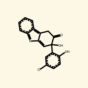 O=C1CC2=c3ccccc3=NC2=CC1(O)c1cc(Cl)ccc1O